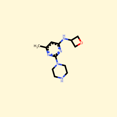 Cc1cc(NC2COC2)nc(N2CCNCC2)n1